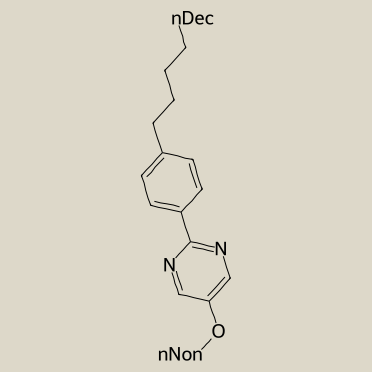 CCCCCCCCCCCCCCc1ccc(-c2ncc(OCCCCCCCCC)cn2)cc1